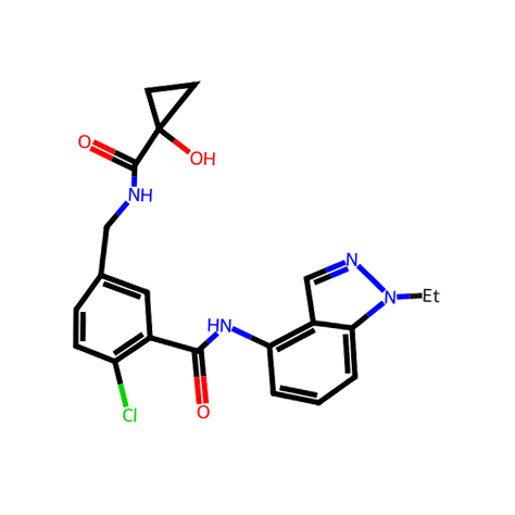 CCn1ncc2c(NC(=O)c3cc(CNC(=O)C4(O)CC4)ccc3Cl)cccc21